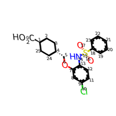 O=C(O)[C@H]1CC[C@H](COc2cc(Cl)ccc2NS(=O)(=O)c2ccccc2)CC1